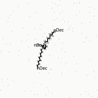 CCCCCCCCCCCCCCCCCCC[n+]1ccn(CCCCCCCCCCCCCCCCCC)c1CCCC